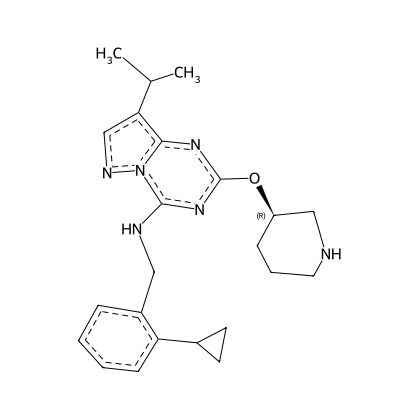 CC(C)c1cnn2c(NCc3ccccc3C3CC3)nc(O[C@@H]3CCCNC3)nc12